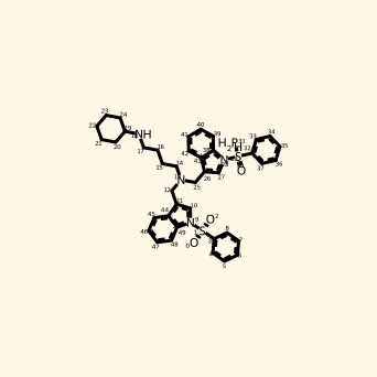 O=S(=O)(c1ccccc1)n1cc(CN(CCCCNC2CCCCC2)Cc2cn([SH](=O)(P)c3ccccc3)c3ccccc23)c2ccccc21